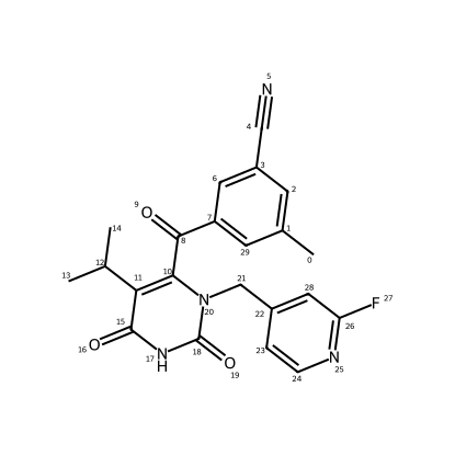 Cc1cc(C#N)cc(C(=O)c2c(C(C)C)c(=O)[nH]c(=O)n2Cc2ccnc(F)c2)c1